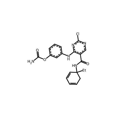 CCC1(NC(=O)c2cnc(Cl)nc2Nc2cccc(OC(N)=O)c2)C=CC=CC1